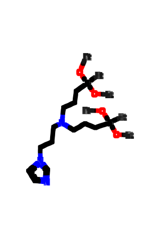 CCO[Si](CC)(CCCN(CCCn1ccnc1)CCC[Si](CC)(OCC)OCC)OCC